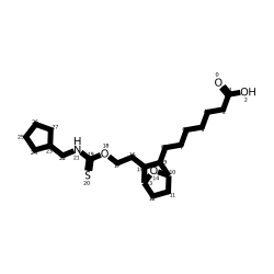 O=C(O)CCCCCCC1C2CCC(O2)C1CCOC(=S)NCC1CCCC1